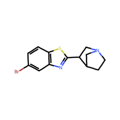 Brc1ccc2sc(C3CN4CCC3C4)nc2c1